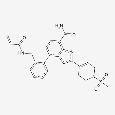 C=CC(=O)NCc1ccccc1-c1ccc(C(N)=O)c2[nH]c(C3=CCN(S(C)(=O)=O)CC3)cc12